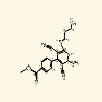 COC(=O)c1ccc(-c2c(C#N)c(N)nc(SCCCO)c2C#N)cc1